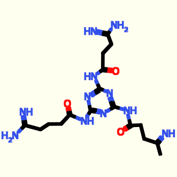 CC(=N)CCC(=O)Nc1nc(NC(=O)CCCC(=N)N)nc(NC(=O)CCC(=N)N)n1